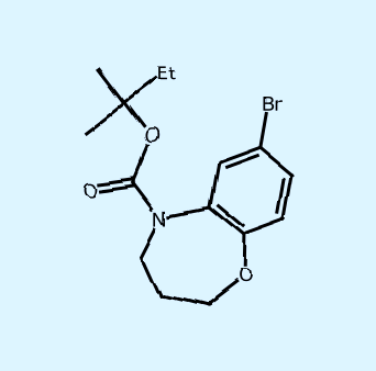 CCC(C)(C)OC(=O)N1CCCOc2ccc(Br)cc21